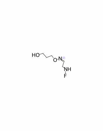 OCCCO/N=C\CNF